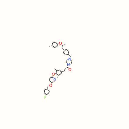 Cc1ccc(OC(C)Cc2ccc(CN3CCN(C(=O)C=Cc4cc(C)c(Oc5ccc(OCc6ccc(F)cc6)cn5)c(C)c4)CC3)cc2)cc1